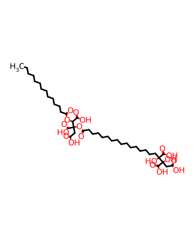 CCCCCCCCCCCCCC(=O)OC(C(=O)O)C(CC(=O)O)(OC(=O)CCCCCCCCCCCCCCCC(O)(C(=O)O)C(O)(CC(=O)O)C(=O)O)C(=O)O